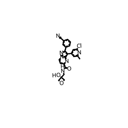 Cc1cc(-c2c(-c3cccc(C#N)c3)nn3ccc(C(=O)NCC4(O)COC4)nc23)cc(Cl)n1